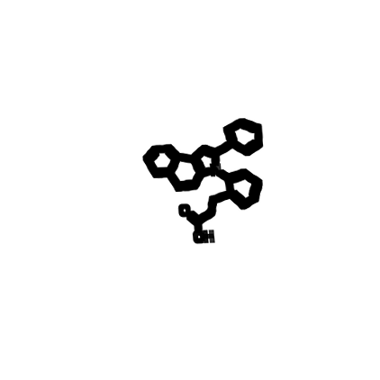 O=C(O)CCc1ccccc1-n1c(-c2ccccc2)cc2c3ccccc3ccc21